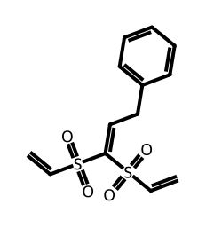 C=CS(=O)(=O)C(=CCc1ccccc1)S(=O)(=O)C=C